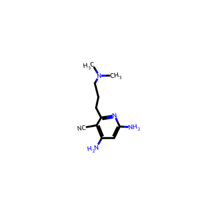 CN(C)CCCc1nc(N)cc(N)c1C#N